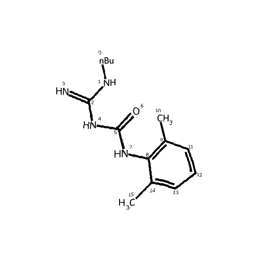 CCCCNC(=N)NC(=O)Nc1c(C)cccc1C